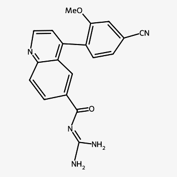 COc1cc(C#N)ccc1-c1ccnc2ccc(C(=O)N=C(N)N)cc12